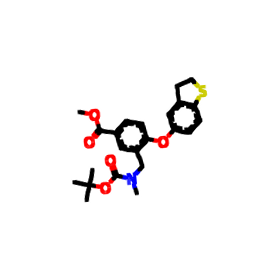 COC(=O)c1ccc(Oc2ccc3c(c2)CCS3)c(CN(C)C(=O)OC(C)(C)C)c1